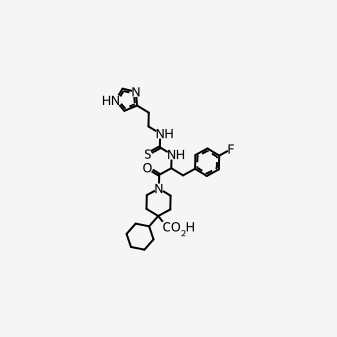 O=C(C(Cc1ccc(F)cc1)NC(=S)NCCc1c[nH]cn1)N1CCC(C(=O)O)(C2CCCCC2)CC1